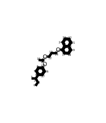 CCC(C)c1ccc(OC(C)OCCCOc2cccc3ccccc23)cc1